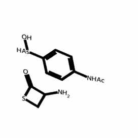 CC(=O)Nc1ccc([AsH]O)cc1.NC1CSC1=O